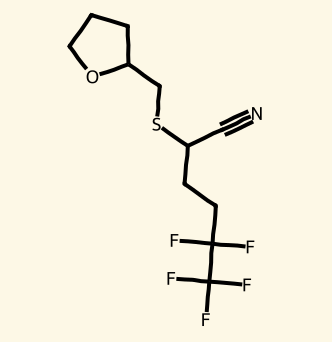 N#CC(CCC(F)(F)C(F)(F)F)SCC1CCCO1